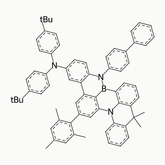 Cc1cc(C)c(-c2cc3c4c(c2)N2c5ccccc5C(C)(C)c5cccc(c52)B4N(c2ccc(-c4ccccc4)cc2)c2ccc(N(c4ccc(C(C)(C)C)cc4)c4ccc(C(C)(C)C)cc4)cc2-3)c(C)c1